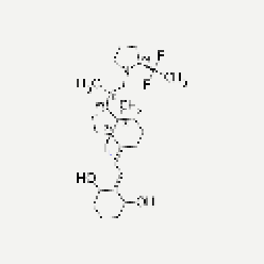 C[C@H](CN1CCC[C@H]1C(C)(F)F)[C@H]1CC[C@H]2/C(=C/C=C3C(O)CCCC3O)CCC[C@]12C